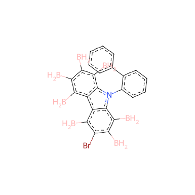 Bc1c(B)c(B)c2c(c1B)c1c(B)c(Br)c(B)c(B)c1n2-c1ccccc1-c1ccccc1